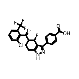 O=C(O)c1ccc(-c2n[nH]c3c2C(F)C(C(=O)c2c(Cl)cccc2C(F)(F)F)CC3)cc1